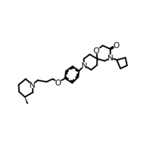 C[C@H]1CCCN(CCCOc2ccc(N3CCC4(CC3)CN(C3CCC3)C(=O)CO4)cc2)C1